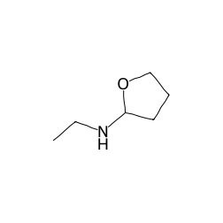 CCNC1CCCO1